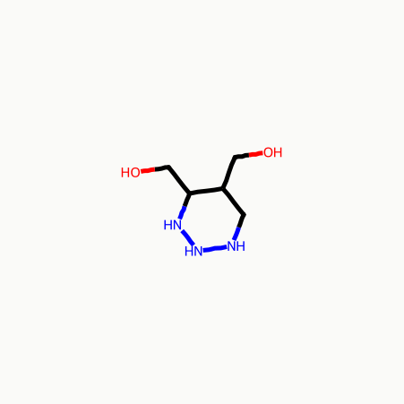 OCC1CNNNC1CO